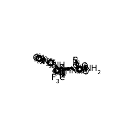 NS(=O)(=O)c1ccc(NCC#Cc2cc3c(NC4CCC(N5CC6(CCOCC6)C5)CC4)cccc3n2CC(F)(F)F)c(OCF)c1